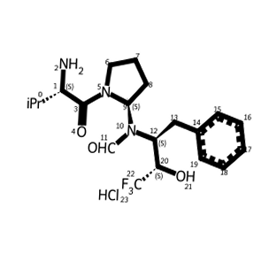 CC(C)[C@H](N)C(=O)N1CCC[C@H]1N(C=O)[C@@H](Cc1ccccc1)[C@H](O)C(F)(F)F.Cl